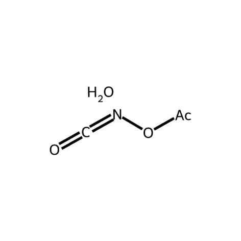 CC(=O)ON=C=O.O